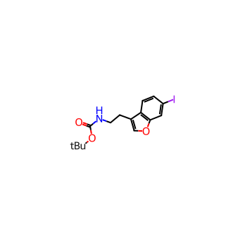 CC(C)(C)OC(=O)NCCc1coc2cc(I)ccc12